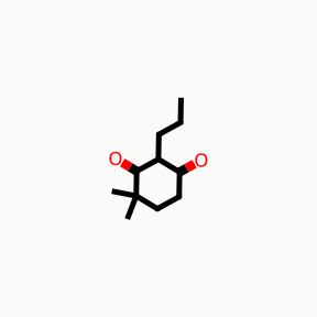 CCCC1C(=O)CCC(C)(C)C1=O